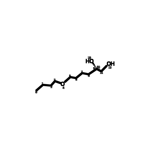 CCCCOCCCC[C@H](O)CO